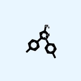 Cc1ccc(-c2cc(C(F)(F)F)nn2-c2ccc(C)cc2)cc1